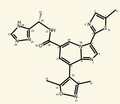 Cc1cnc(-c2cnc3c(-c4c(C)noc4C)cc(C(=O)N[C@@H](C)c4nnc[nH]4)cn23)s1